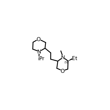 CC[C@H]1COCC(CCC2COCCN2C(C)C)N1C